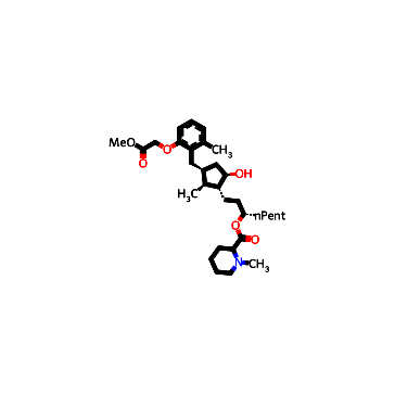 CCCCC[C@@H](CC[C@@H]1[C@@H](C)[C@@H](Cc2c(C)cccc2OCC(=O)OC)C[C@H]1O)OC(=O)C1CCCCN1C